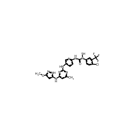 COc1cc(Nc2cc(C)nc(Nc3ccc(NC(=O)N(S)c4ccc(Cl)c(C(F)(F)F)c4)nc3)n2)[nH]n1